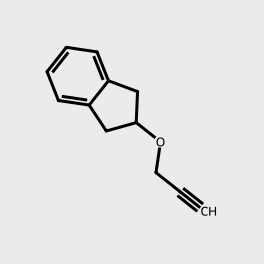 C#CCOC1Cc2ccccc2C1